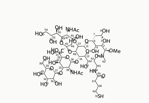 CO[C@H](C(O)C(O)[C@@H](CCO)O[C@@H]1OC(CO)[C@H](O[C@@H]2OC(CO)[C@H](O)C(O[C@@H]3OC(CO)[C@H](O)C(O)C3O)C2NC(C)=O)C(O[C@]2(C(=O)O)CC(O)[C@@H](NC(C)=O)C([C@H](O)[C@H](O)CO)O2)C1O)N(C)OCCNC(=O)CCCS